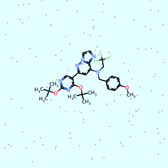 COc1ccc(CN(CC(F)(F)F)c2cc(-c3cnc(OC(C)(C)C)nc3OC(C)(C)C)nn3ccnc23)cc1